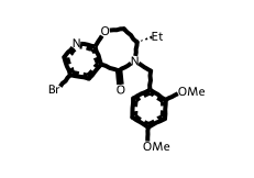 CC[C@H]1COc2ncc(Br)cc2C(=O)N1Cc1ccc(OC)cc1OC